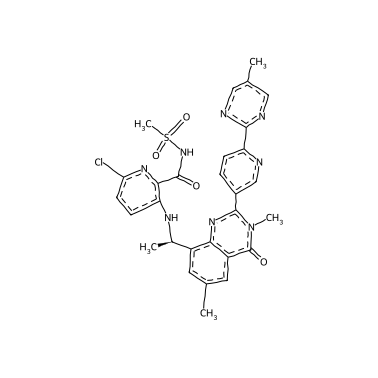 Cc1cnc(-c2ccc(-c3nc4c([C@@H](C)Nc5ccc(Cl)nc5C(=O)NS(C)(=O)=O)cc(C)cc4c(=O)n3C)cn2)nc1